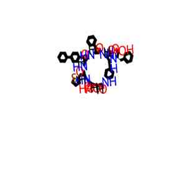 O=C(O)[C@H](Cc1ccccc1)NC(=O)[C@@H]1Cc2ccc(cc2)NC(=O)[C@H](O)[C@@H](O)C(=O)N[C@@H](Cc2cccs2)C(=O)N[C@H](Cc2ccc(-c3ccccc3)cc2)C(=O)N[C@@H](Cc2ccccc2)C(=O)N1